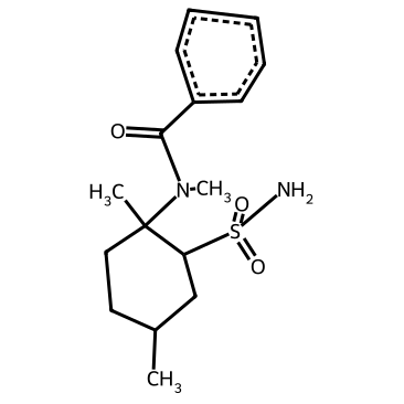 CC1CCC(C)(N(C)C(=O)c2ccccc2)C(S(N)(=O)=O)C1